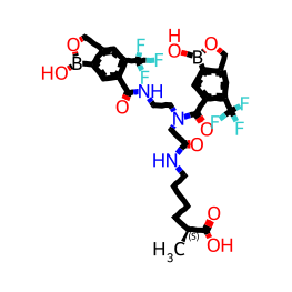 C[C@@H](CCCCNC(=O)CN(CCNC(=O)c1cc2c(cc1C(F)(F)F)COB2O)C(=O)c1cc2c(cc1C(F)(F)F)COB2O)C(=O)O